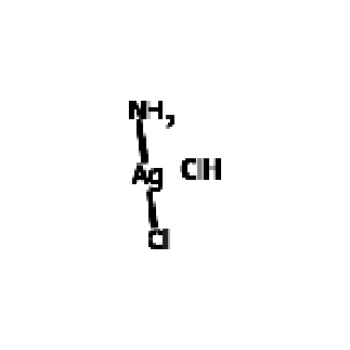 Cl.[NH2][Ag][Cl]